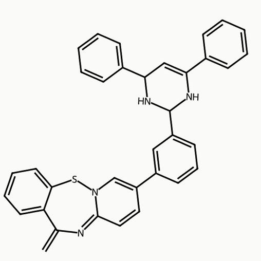 C=C1N=C2C=CC(c3cccc(C4NC(c5ccccc5)=CC(c5ccccc5)N4)c3)=CN2Sc2ccccc21